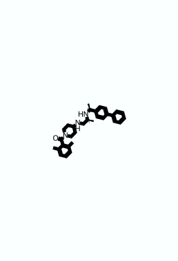 Cc1cccc(C)c1C(=O)N1CCC(NC[C@H](C)N[C@@H](C)c2ccc(-c3ccccc3)cc2)CC1